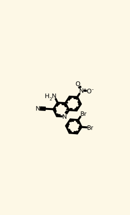 Brc1ccccc1Br.N#Cc1cnc2ccc([N+](=O)[O-])cc2c1N